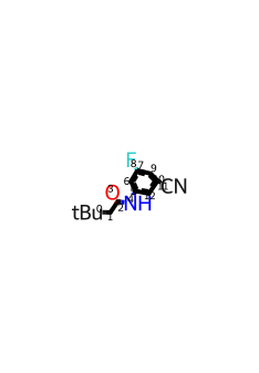 CC(C)(C)CC(=O)Nc1cc(F)cc(C#N)c1